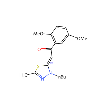 CCCCN1N=C(C)S/C1=C\C(=O)c1cc(OC)ccc1OC